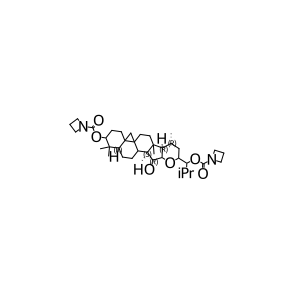 CC(C)C(OC(=O)N1CCC1)C1C[C@@H](C)[C@H]2C(O1)[C@H](O)[C@@]1(C)C3CC[C@H]4C(C)(C)C(OC(=O)N5CCC5)CCC45CC35CCC21C